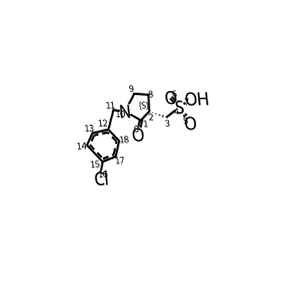 O=C1[C@@H](CS(=O)(=O)O)CCN1Cc1ccc(Cl)cc1